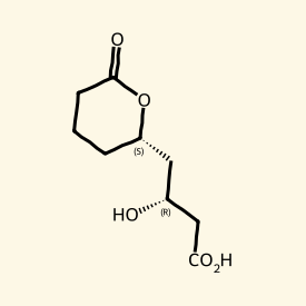 O=C(O)C[C@H](O)C[C@@H]1CCCC(=O)O1